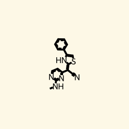 CNc1nccc(C(C#N)=C2NC(c3ccccc3)=CS2)n1